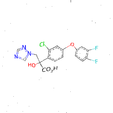 O=C(O)C(O)(Cn1cncn1)c1ccc(Oc2ccc(F)c(F)c2)cc1Cl